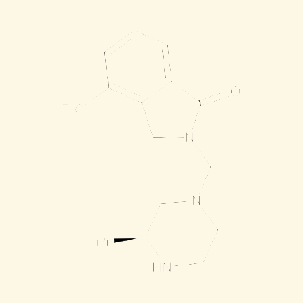 CC(C)[C@H]1CN(CN2Cc3c(cccc3C(F)(F)F)C2=O)CCN1